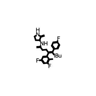 C=C(CC/C(=C(\c1ccc(F)cc1)C(C)CC)c1cc(F)cc(F)c1C)NC1CCNC1=C